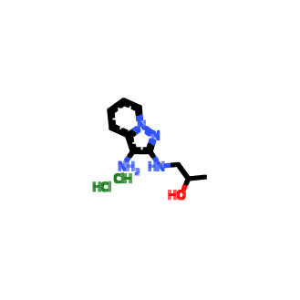 CC(O)CNc1nn2ccccc2c1N.Cl.Cl